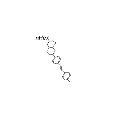 CCCCCCC1CCC2CC(c3ccc(C#Cc4ccc(C)cc4)cc3)CCC2C1